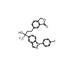 O=C1OCc2ccc(CCC(O)(c3ccc4c(cnn4-c4ccc(F)cc4)c3)C(F)(F)F)cc21